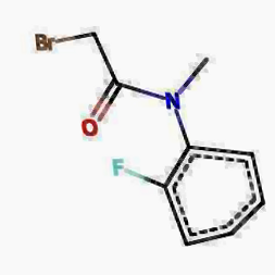 CN(C(=O)CBr)c1ccccc1F